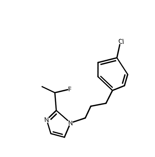 CC(F)c1nccn1CCCc1ccc(Cl)cc1